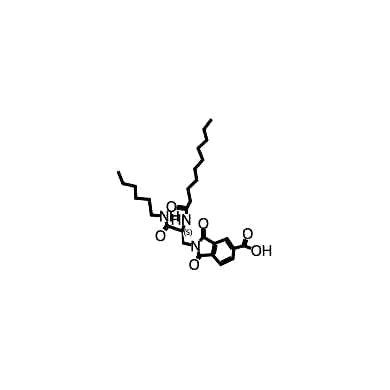 CCCCCCCCCC(=O)N[C@@H](CN1C(=O)c2ccc(C(=O)O)cc2C1=O)C(=O)NCCCCCC